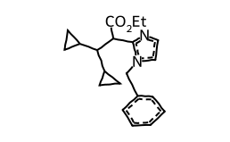 CCOC(=O)C(c1nccn1Cc1ccccc1)C(C1CC1)C1CC1